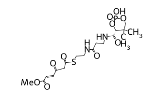 COC(=O)/C=C/C(=O)CC(=O)SCCNC(=O)CCNC(=O)[C@@H]1OP(=O)(O)OCC1(C)C